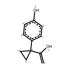 C=C(O)C1(c2ccc(O)cc2)CC1